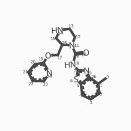 Cc1cccc2sc(NC(=O)N3CCNCC3COc3ccccn3)nc12